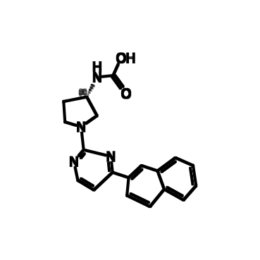 O=C(O)N[C@H]1CCN(c2nccc(-c3ccc4ccccc4c3)n2)C1